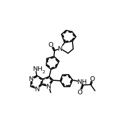 CC(=O)C(=O)Nc1ccc(-c2c(-c3ccc(C(=O)N4CCc5ccccc54)cc3)c3c(N)ncnc3n2C)cc1